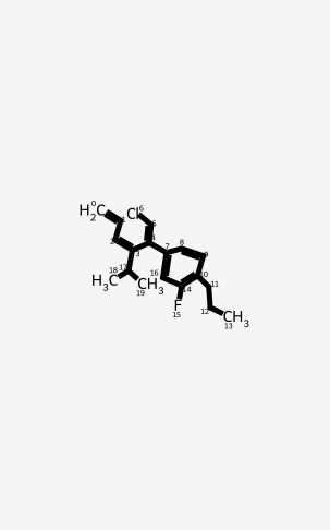 C=C/C=C(\C(=C/Cl)c1ccc(CCC)c(F)c1)C(C)C